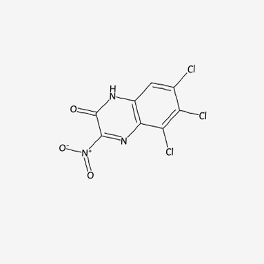 O=c1[nH]c2cc(Cl)c(Cl)c(Cl)c2nc1[N+](=O)[O-]